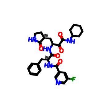 O=C(NC1CCCCC1)C(=O)C(C[C@@H]1CCNC1=O)NC(=O)[C@H](Cc1ccccc1)NC(=O)c1cncc(F)c1